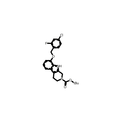 CC(C)(C)OC(=O)N1CCc2c([nH]c3c(OCc4ccc(Cl)cc4F)cccc23)C1